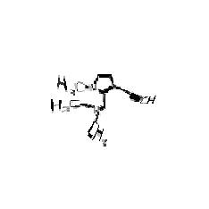 C#Cc1ccn(C)c1CN(C)C